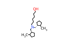 CC1CCC[C@@H]1CN(CCCCCCO)C[C@@H]1CCCC1C